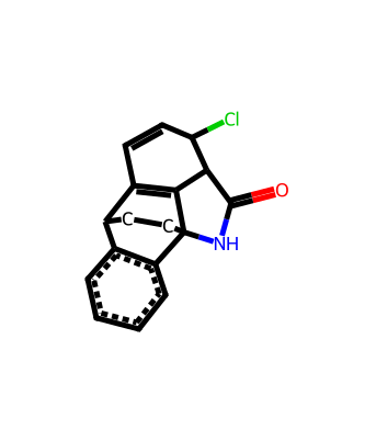 O=C1NC23CCC(C4=C2C1C(Cl)C=C4)c1ccccc13